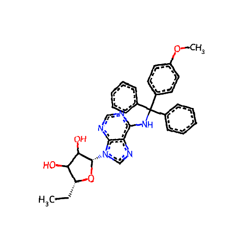 CC[C@H]1O[C@@H](n2cnc3c(NC(c4ccccc4)(c4ccccc4)c4ccc(OC)cc4)ncnc32)C(O)C1O